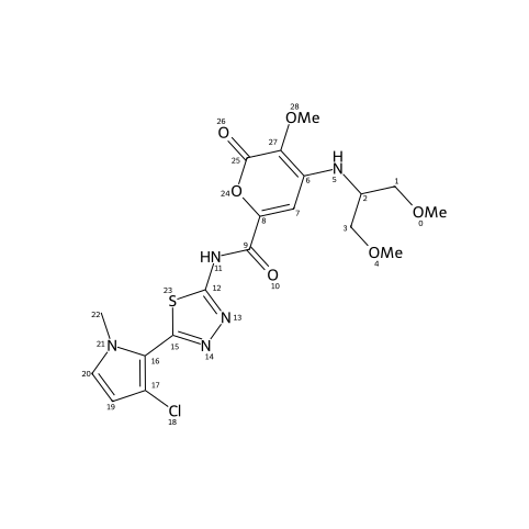 COCC(COC)Nc1cc(C(=O)Nc2nnc(-c3c(Cl)ccn3C)s2)oc(=O)c1OC